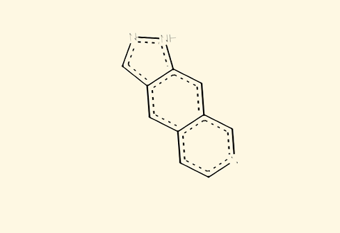 c1cc2cc3cn[nH]c3cc2cn1